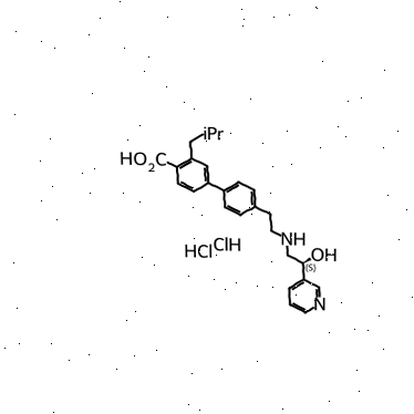 CC(C)Cc1cc(-c2ccc(CCNC[C@@H](O)c3cccnc3)cc2)ccc1C(=O)O.Cl.Cl